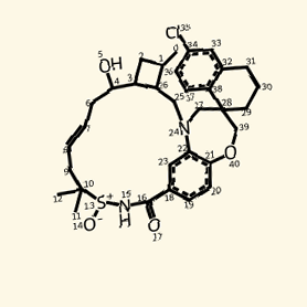 CC1CC2C(O)C/C=C/CC(C)(C)[S+]([O-])NC(=O)c3ccc4c(c3)N(CC12)CC1(CCCc2cc(Cl)ccc21)CO4